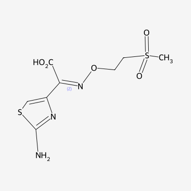 CS(=O)(=O)CCO/N=C(\C(=O)O)c1csc(N)n1